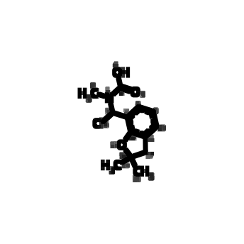 CN(C(=O)O)C(Cl)c1cccc2c1OC(C)(C)C2